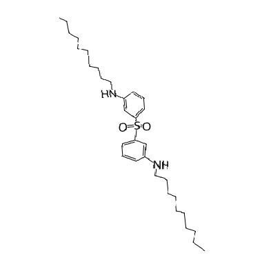 CCCCCCCCCCNc1cccc(S(=O)(=O)c2cccc(NCCCCCCCCCC)c2)c1